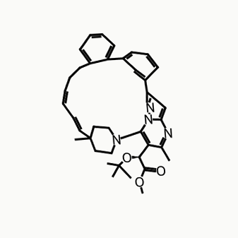 COC(=O)[C@@H](OC(C)(C)C)c1c(C)nc2cc3nn2c1N1CCC(C)(/C=C/C=C\CCc2ccccc2-c2cccc-3c2)CC1